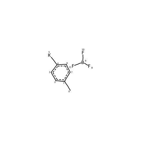 Cc1cc[c]([K])cc1.FB(F)F